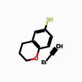 C#CCC.Sc1ccc2c(c1)CCCO2